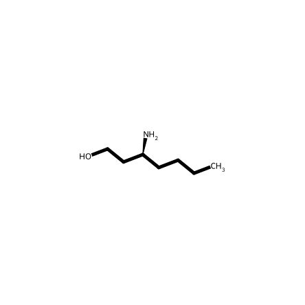 CCCC[C@H](N)CCO